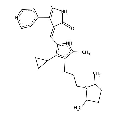 Cc1[nH]c(C=C2C(=O)NN=C2c2ccncn2)c(C2CC2)c1CCCN1C(C)CCC1C